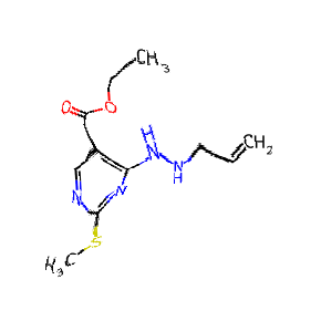 C=CCNNc1nc(SC)ncc1C(=O)OCC